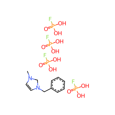 CN1C=CN(Cc2ccccc2)C1.O=P(O)(O)F.O=P(O)(O)F.O=P(O)(O)F.O=P(O)(O)F